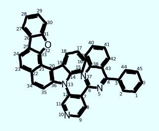 c1ccc(-c2nc(-c3ccncc3-n3c4ccccc4c4c5c(ccc6c7ccccc7oc65)ccc43)nc3ccccc23)cc1